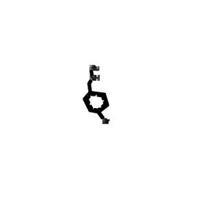 CCC(C)NCc1ccc(Br)cc1